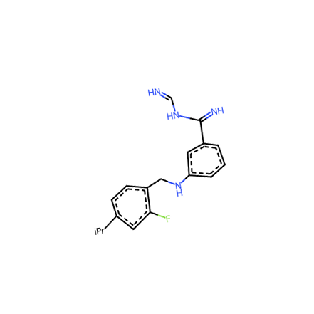 CC(C)c1ccc(CNc2cccc(C(=N)NC=N)c2)c(F)c1